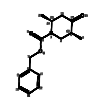 C[C@H]1CN(C(=O)OCc2ccccc2)[C@@H](C)CC1=O